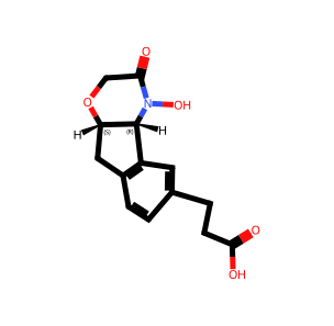 O=C(O)CCc1ccc2c(c1)[C@@H]1[C@H](C2)OCC(=O)N1O